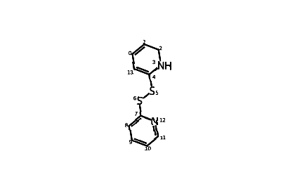 C1=CCNC(SSc2ccccn2)=C1